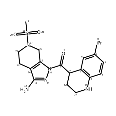 CC(C)c1ccc2c(c1)C(C(=O)n1nc(N)c3c1CN(S(C)(=O)=O)CC3)CCN2